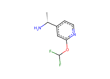 C[C@@H](N)c1ccnc(OC(F)F)c1